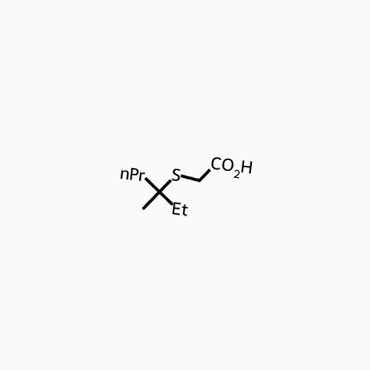 CCCC(C)(CC)SCC(=O)O